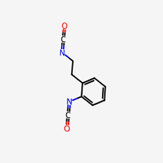 O=C=NCCc1ccccc1N=C=O